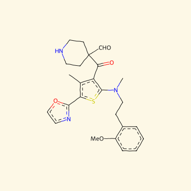 COc1ccccc1CCN(C)c1sc(-c2ncco2)c(C)c1C(=O)C1(C=O)CCNCC1